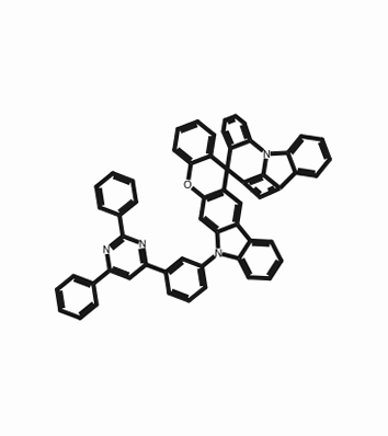 c1ccc(-c2cc(-c3cccc(-n4c5ccccc5c5cc6c(cc54)Oc4ccccc4C64c5ccccc5-n5c6ccccc6c6cccc4c65)c3)nc(-c3ccccc3)n2)cc1